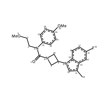 COCCN(C(=O)N1CC(n2cc(C)c3cc(F)ccc32)C1)c1ccc(OC)nc1